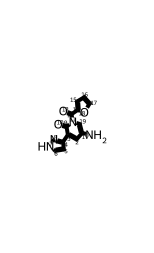 Nc1cc(-c2cc[nH]n2)c(=O)n(C(=O)c2ccco2)c1